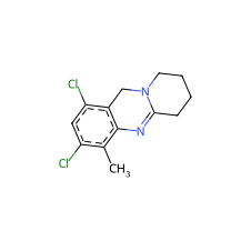 Cc1c(Cl)cc(Cl)c2c1N=C1CCCCN1C2